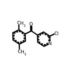 Cc1ccc(C)c(C(=O)c2ccnc(Cl)c2)c1